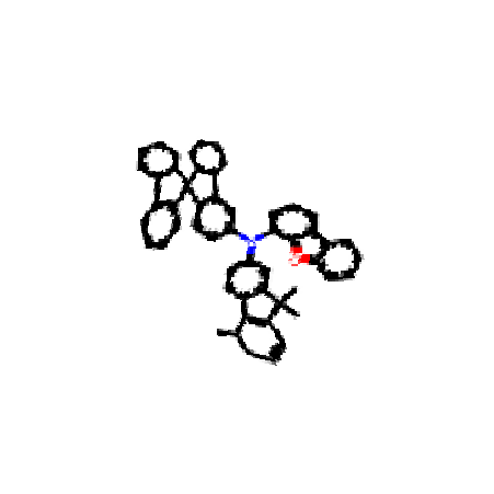 CC1CC=CC2=C1c1ccc(N(c3ccc4c(c3)-c3ccccc3C43c4ccccc4-c4ccccc43)c3cccc4c3oc3ccccc34)cc1C2(C)C